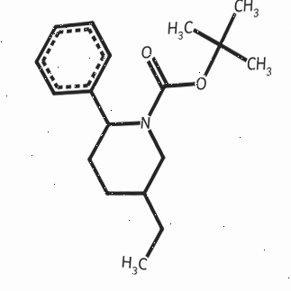 CCC1CCC(c2ccccc2)N(C(=O)OC(C)(C)C)C1